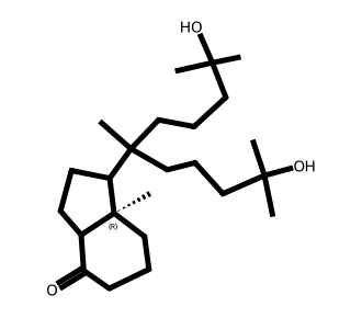 CC(C)(O)CCCC(C)(CCCC(C)(C)O)C1CCC2C(=O)CCC[C@@]21C